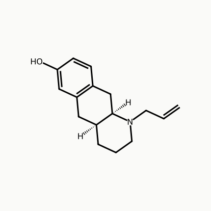 C=CCN1CCC[C@H]2Cc3cc(O)ccc3C[C@H]21